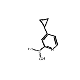 OB(O)c1cc(C2CC2)ccn1